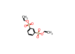 C=COS(=O)(=O)c1cccc(S(=O)(=O)OC=C)c1